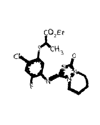 CCOC(=O)C(C)Sc1cc(N=c2sc(=O)n3n2CCCC3)c(F)cc1Cl